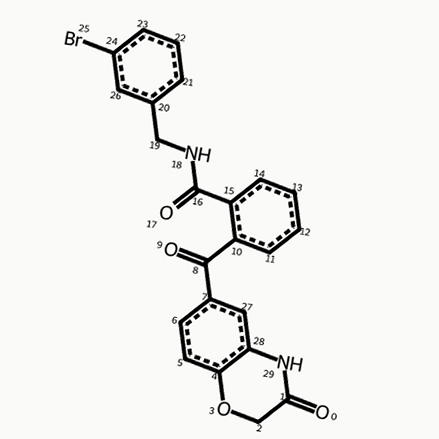 O=C1COc2ccc(C(=O)c3ccccc3C(=O)NCc3cccc(Br)c3)cc2N1